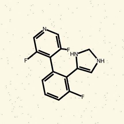 Fc1cccc(-c2c(F)cncc2F)c1C1=CNCN1